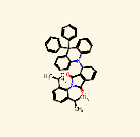 CC(C)c1cccc(C(C)C)c1N1C(=O)c2cccc(N3c4ccccc4C(c4ccccc4)(c4ccccc4)c4ccccc43)c2C1=O